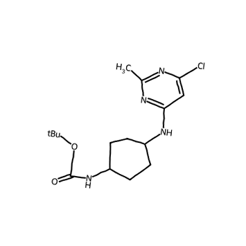 Cc1nc(Cl)cc(NC2CCC(NC(=O)OC(C)(C)C)CC2)n1